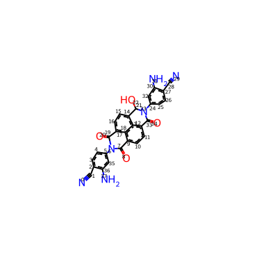 N#Cc1ccc(N2C(=O)c3ccc4c5c(ccc(c35)C2=O)C(O)N(c2ccc(C#N)c(N)c2)C4=O)cc1N